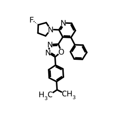 CC(C)c1ccc(-c2nnc(-c3c(-c4ccccc4)ccnc3N3CC[C@H](F)C3)o2)cc1